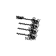 CCCCCCCCCCCCOC(=O)C(CC(=O)[O-])S(=O)(=O)O.CCCCCCCCCCCCOC(=O)C(CC(=O)[O-])S(=O)(=O)O.CCCCCCCCCCCCOC(=O)C(CC(=O)[O-])S(=O)(=O)O.CCCCCCCCCCCCOC(=O)C(CC(=O)[O-])S(=O)(=O)O.[Na+].[Na+].[Na+].[Na+]